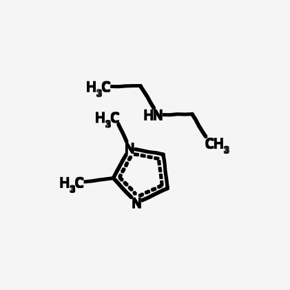 CCNCC.Cc1nccn1C